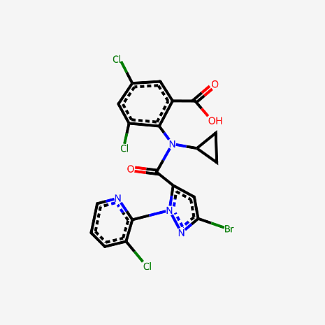 O=C(O)c1cc(Cl)cc(Cl)c1N(C(=O)c1cc(Br)nn1-c1ncccc1Cl)C1CC1